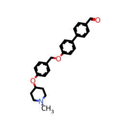 CN1CCC(Oc2ccc(COc3ccc(-c4ccc(C=O)cc4)cc3)cc2)CC1